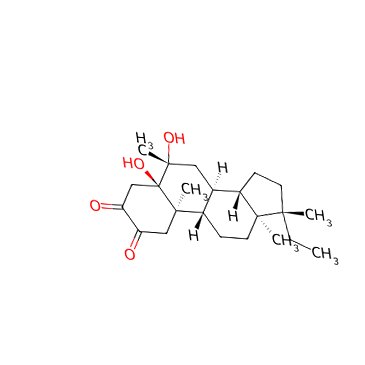 CC[C@@]1(C)CC[C@H]2[C@@H]3C[C@@](C)(O)[C@@]4(O)CC(=O)C(=O)C[C@]4(C)[C@H]3CC[C@@]21C